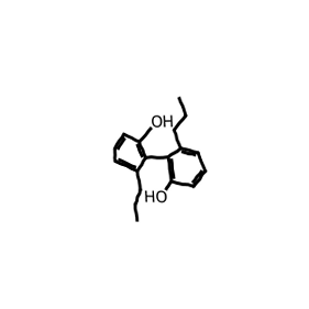 CCCc1cccc(O)c1-c1c(O)cccc1CCC